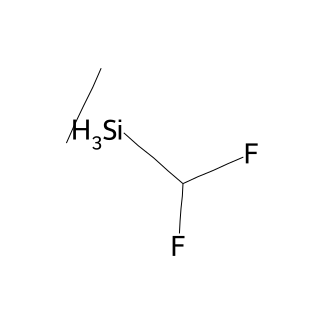 CC.FC(F)[SiH3]